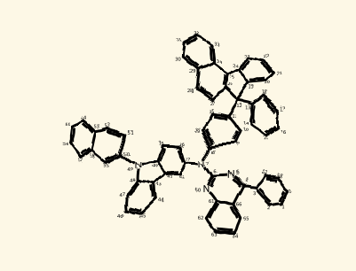 c1ccc(-c2nc(N(c3ccc(C4(c5ccccc5)c5ccccc5-c5c4ccc4ccccc54)cc3)c3ccc4c(c3)c3ccccc3n4-c3ccc4ccccc4c3)nc3ccccc23)cc1